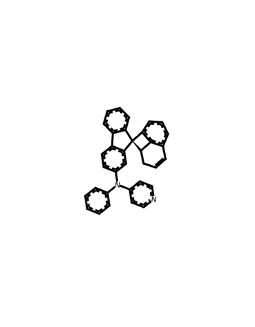 C1=Cc2cccc3c2C(C1)[C@@]31c2ccccc2-c2ccc(N(c3ccccc3)c3ccncc3)cc21